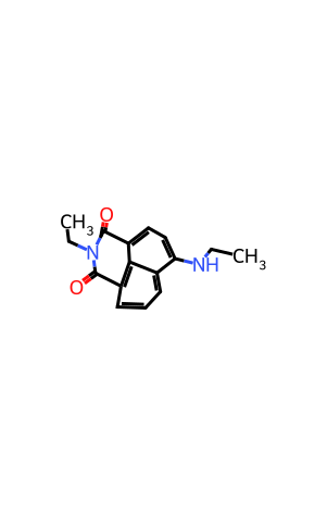 CCNc1ccc2c3c(cccc13)C(=O)N(CC)C2=O